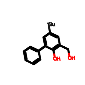 CC(C)(C)c1cc(CO)c(O)c(-c2ccccc2)c1